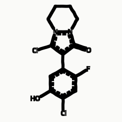 O=c1c(-c2cc(O)c(Cl)cc2F)c(Cl)n2n1CCCC2